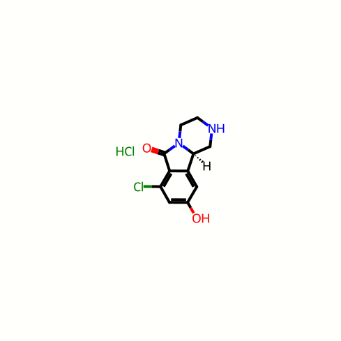 Cl.O=C1c2c(Cl)cc(O)cc2[C@@H]2CNCCN12